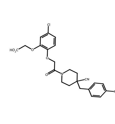 N#CC1(Cc2ccc(F)cc2)CCN(C(=O)COc2ccc(Cl)cc2OCC(=O)O)CC1